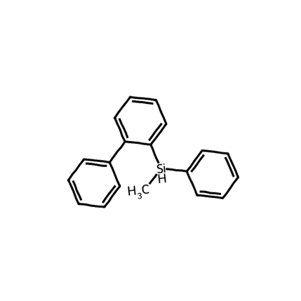 C[SiH](c1ccccc1)c1ccccc1-c1ccccc1